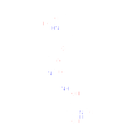 CCN(CCCNCC(O)c1ccc(O)c2[nH]c(=O)ccc12)C(=O)c1ccc(COc2cccc(C(NC(=O)O)c3ccccc3)c2)o1